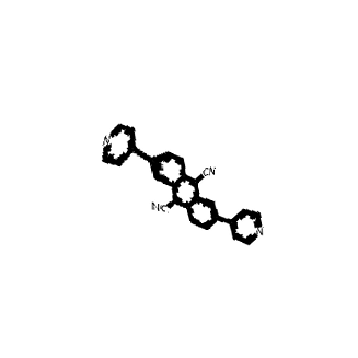 N#Cc1c2ccc(-c3ccncc3)cc2c(C#N)c2ccc(-c3ccncc3)cc12